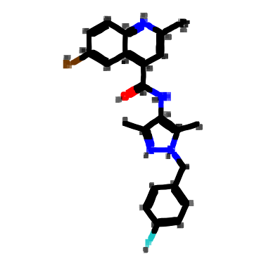 Cc1nn(Cc2ccc(F)cc2)c(C)c1NC(=O)c1cc(C(C)C)nc2ccc(Br)cc12